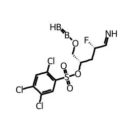 B=BOC[C@H](C[C@H](F)C=N)OS(=O)(=O)c1cc(Cl)c(Cl)cc1Cl